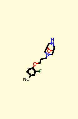 N#Cc1ccc(OCCCN2CC3CNCC(C2)O3)c(F)c1